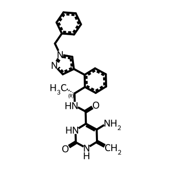 C=C1NC(=O)NC(C(=O)N[C@H](C)c2ccccc2-c2cnn(Cc3ccccc3)c2)=C1N